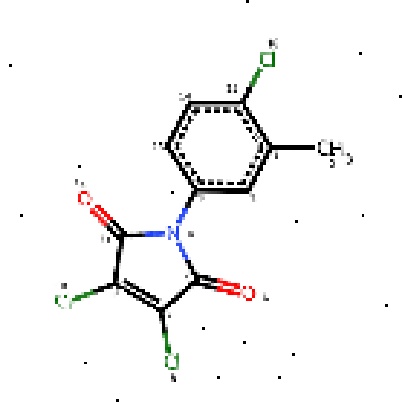 Cc1cc(N2C(=O)C(Cl)=C(Cl)C2=O)ccc1Cl